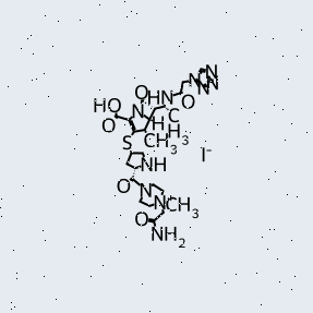 C[C@@H](NC(=O)Cn1cnnn1)[C@H]1C(=O)N2C(C(=O)O)=C(S[C@@H]3CN[C@H](C(=O)N4CC[N+](C)(CC(N)=O)CC4)C3)[C@H](C)[C@H]12.[I-]